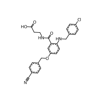 N#Cc1ccc(COc2ccc(NCc3ccc(Cl)cc3)c(C(=O)NCCC(=O)O)c2)cc1